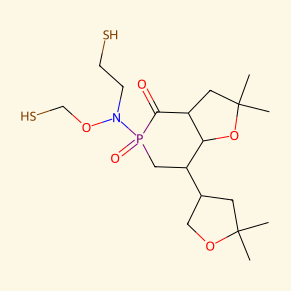 CC1(C)CC(C2CP(=O)(N(CCS)OCS)C(=O)C3CC(C)(C)OC32)CO1